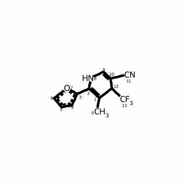 CC1=C(c2ccco2)NC=C(C#N)C1C(F)(F)F